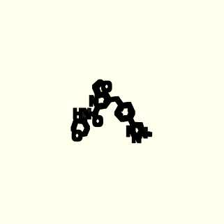 Cn1cc(-c2ccc(Cc3cc(C(=O)NC4CCOCC4)nc4ccoc34)cc2)nn1